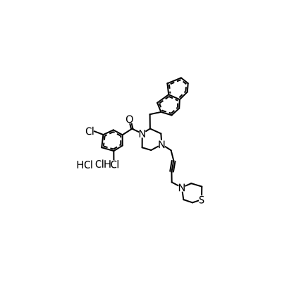 Cl.Cl.O=C(c1cc(Cl)cc(Cl)c1)N1CCN(CC#CCN2CCSCC2)CC1Cc1ccc2ccccc2c1